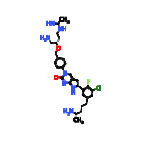 CC(=N)NCC[C@@H](CN)OCc1ccc(-n2cc3cc(-c4cc(CCC[C@H](C)N)cc(Cl)c4F)[nH]c3nc2=O)cc1